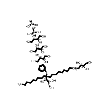 CCCCCCCCCC(CCCCCCCCC)(Oc1ccccc1)[C@H](O)[C@H](O)CO.OC[C@@H](O)[C@@H](O)CO.OC[C@@H](O)[C@@H](O)CO.OC[C@@H](O)[C@@H](O)CO.OC[C@@H](O)[C@@H](O)CO.OP(O)O.OP(O)O